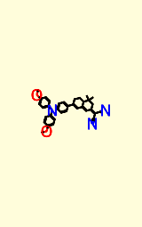 COc1ccc(N(c2ccc(OC)cc2)c2ccc(C3=CC4=CC(=C(C#N)C#N)CC(C)(C)C4CC3)cc2)cc1